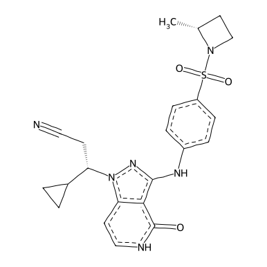 C[C@@H]1CCN1S(=O)(=O)c1ccc(Nc2nn([C@@H](CC#N)C3CC3)c3cc[nH]c(=O)c23)cc1